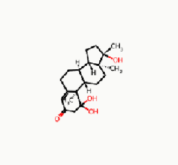 C[C@@]12C(=CC(=O)CC1(O)O)CC[C@@H]1[C@@H]2CC[C@@]2(C)[C@H]1CC[C@]2(C)O